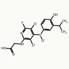 CC(C)c1cc([S+]([O-])c2c(Cl)c(F)nc(NCC(=O)O)c2Cl)ccc1O